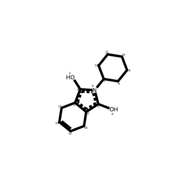 Oc1c2c(c(O)n1C1CCCCC1)CC=CC2